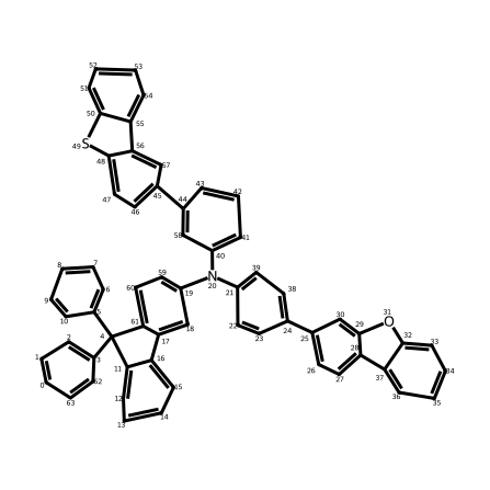 c1ccc(C2(c3ccccc3)c3ccccc3-c3cc(N(c4ccc(-c5ccc6c(c5)oc5ccccc56)cc4)c4cccc(-c5ccc6sc7ccccc7c6c5)c4)ccc32)cc1